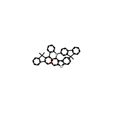 CC1(C)c2ccccc2-c2ccc(N(c3ccccc3-c3cccc4c3C(C)(C)c3ccccc3-4)c3cccc4oc5ccccc5c34)cc21